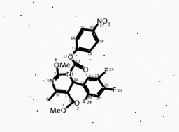 COC(=O)C1=C(C)N=C(OC)N(C(=O)Oc2ccc([N+](=O)[O-])cc2)C1c1cc(F)c(F)cc1F